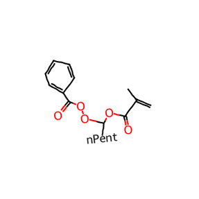 C=C(C)C(=O)OC(CCCCC)OOC(=O)c1ccccc1